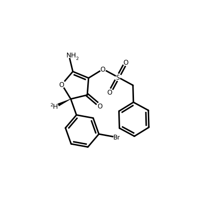 [2H][C@@]1(c2cccc(Br)c2)OC(N)=C(OS(=O)(=O)Cc2ccccc2)C1=O